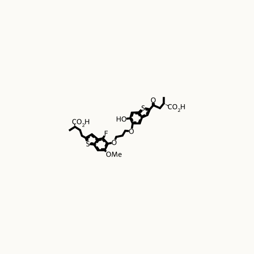 COc1cc2sc(CC[C@H](C)C(=O)O)cc2c(F)c1OCCCOc1cc2cc(C(=O)C[C@H](C)C(=O)O)sc2cc1O